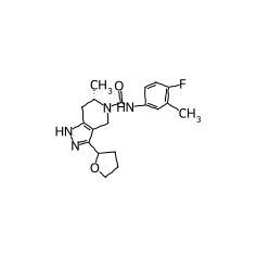 Cc1cc(NC(=O)N2Cc3c(C4CCCO4)n[nH]c3C[C@@H]2C)ccc1F